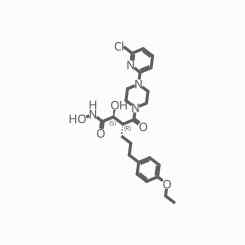 CCOc1ccc(CCC[C@@H](C(=O)N2CCN(c3cccc(Cl)n3)CC2)[C@H](O)C(=O)NO)cc1